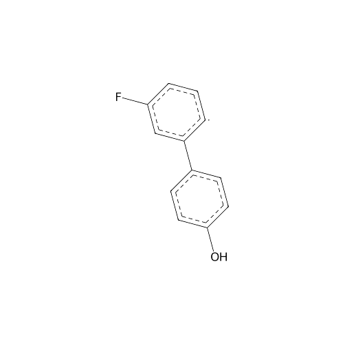 Oc1ccc(-c2[c]ccc(F)c2)cc1